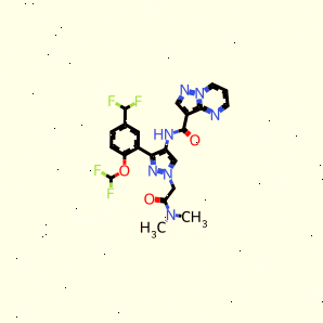 CN(C)C(=O)Cn1cc(NC(=O)c2cnn3cccnc23)c(-c2cc(C(F)F)ccc2OC(F)F)n1